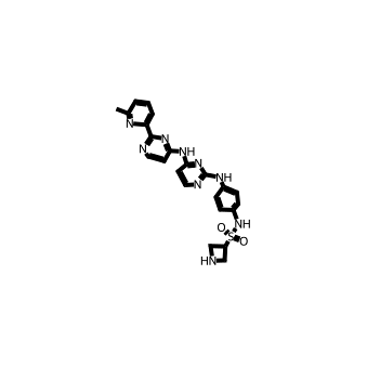 Cc1cccc(-c2nccc(Nc3ccnc(Nc4ccc(NS(=O)(=O)C5CNC5)cc4)n3)n2)n1